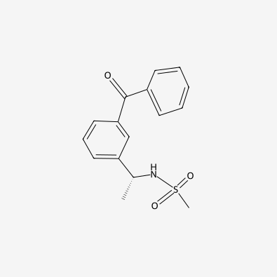 C[C@@H](NS(C)(=O)=O)c1cccc(C(=O)c2ccccc2)c1